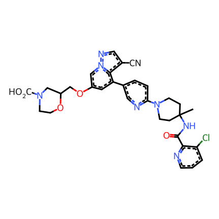 CC1(NC(=O)c2ncccc2Cl)CCN(c2ccc(-c3cc(OCC4CN(C(=O)O)CCO4)cn4ncc(C#N)c34)cn2)CC1